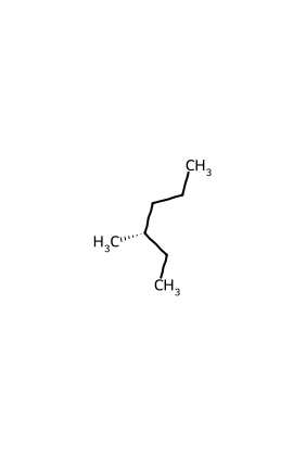 CCC[C@@H](C)CC